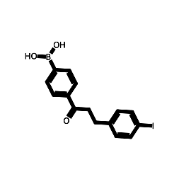 O=C(CCc1ccc(I)cc1)c1ccc(B(O)O)cc1